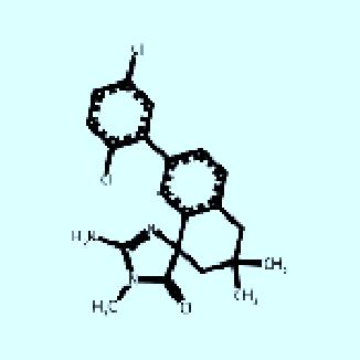 CN1C(=O)C2(CC(C)(C)Cc3ccc(-c4cc(Cl)ccc4Cl)cc32)N=C1N